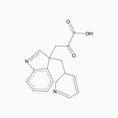 O=C(O)C(=O)CC1(CC2C=CC=NC2)C=Nc2ccccc21